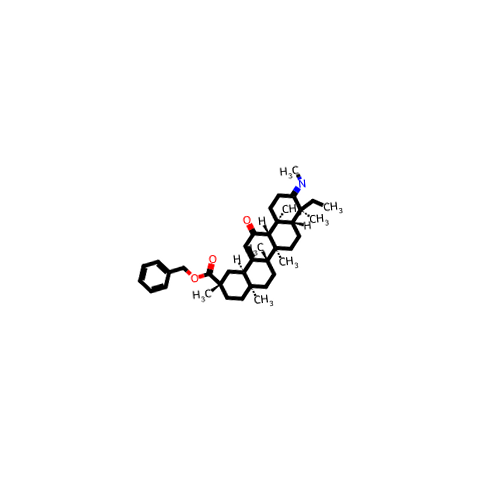 CC[C@]1(C)/C(=N/C)CC[C@@]2(C)[C@H]1CC[C@]1(C)[C@@H]2C(=O)C=C2[C@@H]3C[C@@](C)(C(=O)OCc4ccccc4)CC[C@]3(C)CC[C@]21C